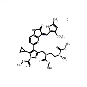 CCOC(=O)c1cc(C)[nH]c1/C=C1\C(=O)Nc2ccc(-c3c(CN(CCN(C)C(=O)OC(C)(C)C)C(=O)OC(C)(C)C)nn(C(=O)OC(C)(C)C)c3C3CC3)nc21